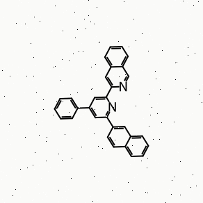 c1ccc(-c2cc(-c3ccc4ccccc4c3)nc(-c3cc4ccccc4cn3)c2)cc1